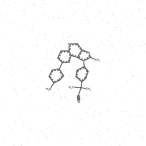 Cc1nc2cnc3ccc(-c4ccc(N)cc4)cc3c2n1-c1ccc(C(C)(C)C#N)cc1